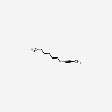 CC#C[CH]C=CCCCC